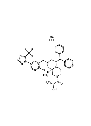 COc1ccc(-n2nnnc2C(F)(F)F)cc1CN1C[C@@H]2CN(C(=O)[C@H](C)O)CCN2[C@H](C(c2ccccc2)c2ccccc2)C1.Cl.Cl